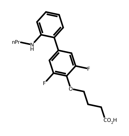 CCCNc1ccccc1-c1cc(F)c(OCCCC(=O)O)c(F)c1